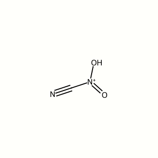 N#C[N+](=O)O